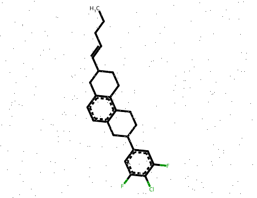 CCCC=CC1CCc2c(ccc3c2CCC(c2cc(F)c(Cl)c(F)c2)C3)C1